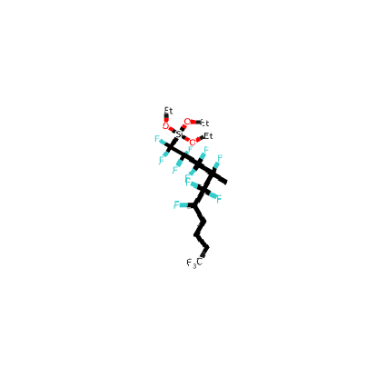 CCO[Si](OCC)(OCC)C(F)(F)C(F)(F)C(F)(F)C(C)(F)C(F)(F)C(F)CCCC(F)(F)F